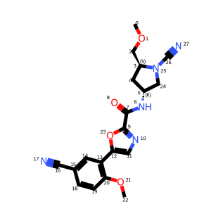 COC[C@@H]1C[C@@H](NC(=O)c2ncc(-c3cc(C#N)ccc3OC)o2)CN1C#N